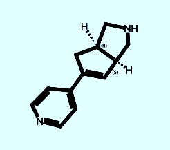 C1=C(c2ccncc2)C[C@H]2CNC[C@@H]12